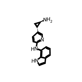 N[C@@H]1C[C@H]1c1ccc(Nc2cccc3cc[nH]c23)nc1